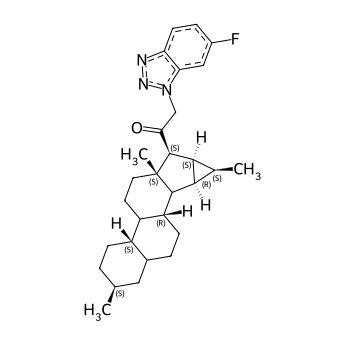 C[C@H]1CC[C@H]2C(CC[C@@H]3C2CC[C@@]2(C)C3[C@@H]3[C@H](C)[C@@H]3[C@@H]2C(=O)Cn2nnc3ccc(F)cc32)C1